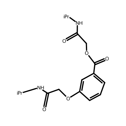 CC(C)NC(=O)COC(=O)c1cccc(OCC(=O)NC(C)C)c1